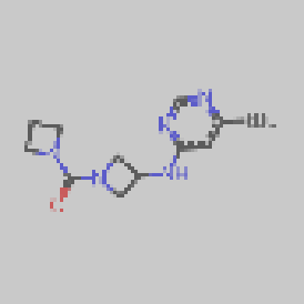 CC(C)(C)c1cc(NC2CN(C(=O)N3CCC3)C2)ncn1